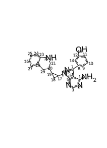 Nc1ncnc2c1c(-c1cccc(O)c1)nn2C1CC1C1CNc2ccccc2C1